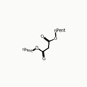 CCCCCOC(=O)CC(=O)OCCCCC